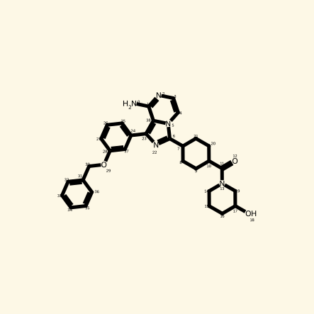 Nc1nccn2c(C3CCC(C(=O)N4CCCC(O)C4)CC3)nc(-c3cccc(OCc4ccccc4)c3)c12